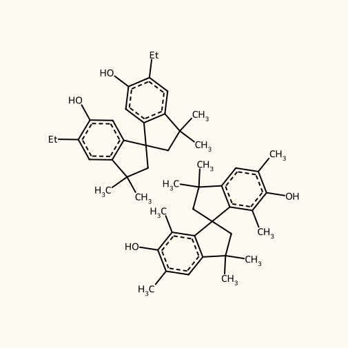 CCc1cc2c(cc1O)C1(CC2(C)C)CC(C)(C)c2cc(CC)c(O)cc21.Cc1cc2c(c(C)c1O)C1(CC2(C)C)CC(C)(C)c2cc(C)c(O)c(C)c21